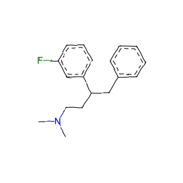 CN(C)CCC(Cc1ccccc1)c1cccc(F)c1